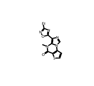 CCc1noc(-c2ncn3c4ccsc4c(=O)n(C)c23)n1